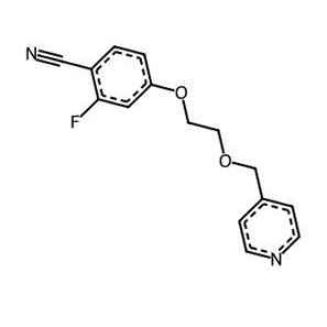 N#Cc1ccc(OCCOCc2ccncc2)cc1F